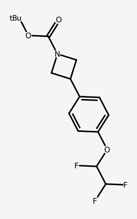 CC(C)(C)OC(=O)N1CC(c2ccc(OC(F)C(F)F)cc2)C1